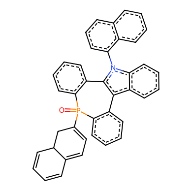 O=P1(C2=CC=C3C=CC=CC3C2)c2ccccc2-c2c(n(-c3cccc4ccccc34)c3ccccc23)-c2ccccc21